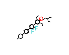 CCc1cc(-c2ccc(-c3ccc(C4CCC(C)CC4)cc3)c(F)c2F)cc(CC)c1OCCC(CC)CC